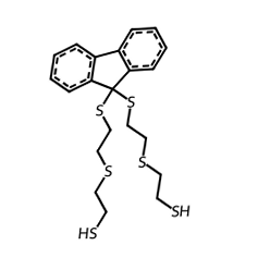 SCCSCCSC1(SCCSCCS)c2ccccc2-c2ccccc21